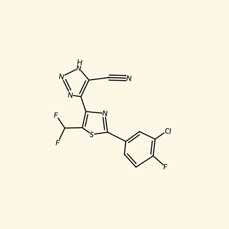 N#Cc1[nH]nnc1-c1nc(-c2ccc(F)c(Cl)c2)sc1C(F)F